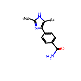 CC(=O)c1[nH]c(C(C)(C)C)nc1-c1ccc(C(N)=O)cc1